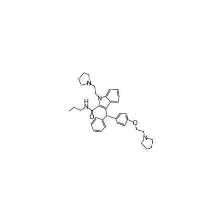 CCCNC(=O)c1c(C(c2ccccc2)c2ccc(OCCN3CCCC3)cc2)c2ccccc2n1CCN1CCCC1